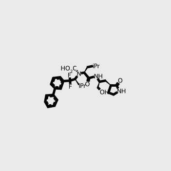 CC(C)C[C@@H](C(=O)N[C@H](CO)C[C@@H]1CCNC1=O)N(C(=O)O)[C@@H](C(C)C)C(F)(F)c1cccc(-c2ccccc2)c1